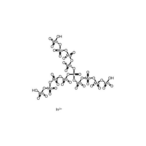 O=P([O][Mo](=[O])(=[O])[O][Mo](=[O])(=[O])[O][Mo](=[O])(=[O])[O][Mo](=[O])(=[O])[OH])([O][Mo](=[O])(=[O])[O][Mo](=[O])(=[O])[O][Mo](=[O])(=[O])[O][Mo](=[O])(=[O])[OH])[O][Mo](=[O])(=[O])[O][Mo](=[O])(=[O])[O][Mo](=[O])(=[O])[O][Mo](=[O])(=[O])[OH].[In+3]